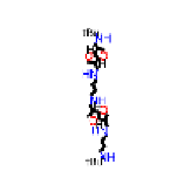 CC(C)(C)NCCCCNCC1CO[C@@H]2C(CNCCCCNCC3CO[C@@H]4C(CNC(C)(C)C)CO[C@H]34)CO[C@H]12